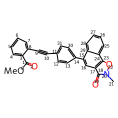 COC(=O)c1ccccc1C#Cc1ccc(-c2cc3c(=O)n(C)oc3c3ccccc23)cc1